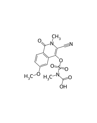 COc1ccc2c(=O)n(C)c(C#N)c(OS(=O)(=O)N(C)C(=O)O)c2c1